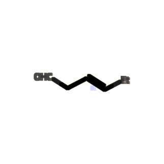 CC/C=C/CC=O